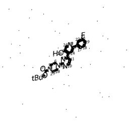 CC(C)(C)OC(=O)N1CCN(c2nccc(-c3cc(-c4cccc(F)c4)ncc3O)n2)CC1